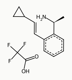 C[C@H](N)c1ccccc1/C=C/C1CC1.O=C(O)C(F)(F)F